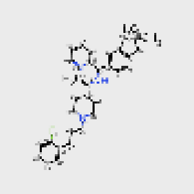 C=C(NC(c1ccc2c(c1)CC(C)(C)C2)c1ccccn1)C1CCN(CCCC2=CCCC=C2F)CC1